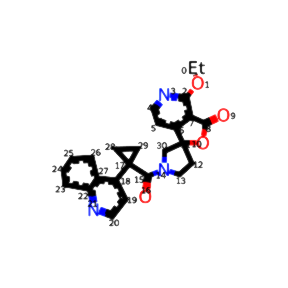 CCOc1nccc2c1C(=O)OC21CCN(C(=O)C2(c3ccnc4ccccc34)CC2)C1